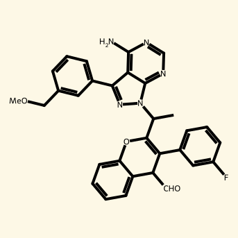 COCc1cccc(-c2nn(C(C)C3=C(c4cccc(F)c4)C(C=O)c4ccccc4O3)c3ncnc(N)c23)c1